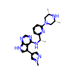 C[C@@H]1CN(c2cccc([C@H](C)Nc3ncnc4[nH]cc(-c5cnn(C)c5)c34)n2)C[C@H](C)N1